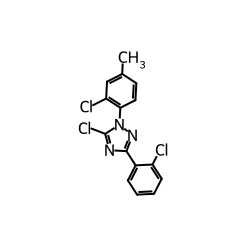 Cc1ccc(-n2nc(-c3ccccc3Cl)nc2Cl)c(Cl)c1